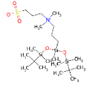 CC(C)(C)[Si](C)(C)O[Si](C)(CCC[N+](C)(C)CCCS(=O)(=O)[O-])O[Si](C)(C)C(C)(C)C